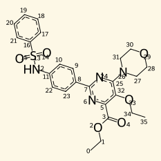 CCOC(=O)c1nc(-c2ccc(NS(=O)(=O)c3ccccc3)cc2)nc(N2CCOCC2)c1OCC